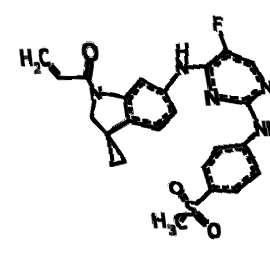 C=CC(=O)N1CC2(CC2)c2ccc(Nc3nc(Nc4ccc(S(C)(=O)=O)cc4)ncc3F)cc21